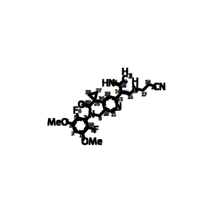 COc1cc(OC)c(F)c(N2Cc3cnc(/C(=C/NCCC#N)C(C)=N)cc3C3(CC3)C2=O)c1F